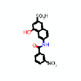 O=C(Nc1ccc2cc(S(=O)(=O)O)cc(O)c2c1)c1cccc([N+](=O)[O-])c1